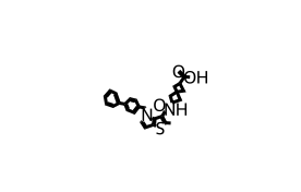 Cc1sc2ccn(Cc3ccc(-c4ccccc4)cc3)c2c1C(=O)NC1CC2(C1)CC(C(=O)O)C2